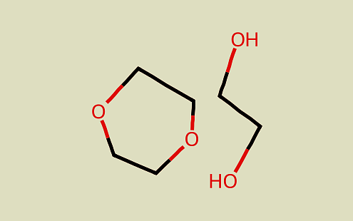 C1COCCO1.OCCO